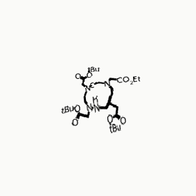 CCOC(=O)CN1CCC(CC(=O)OC(C)(C)C)CNN(CC(=O)OC(C)(C)C)CCN(CC(=O)OC(C)(C)C)CC1